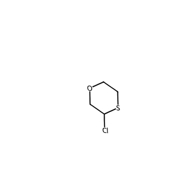 ClC1COCCS1